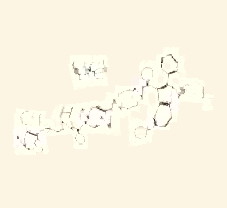 Cc1ncsc1CCNC(=O)c1cnc(N2CCN(C(=O)c3c(-c4ccccc4)n(C)c4ccc(Cl)cc34)CC2)cn1.Cl.Cl